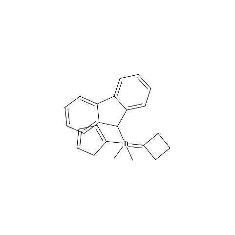 [CH3][Ti]([CH3])([C]1=CC=CC1)(=[C]1CCC1)[CH]1c2ccccc2-c2ccccc21